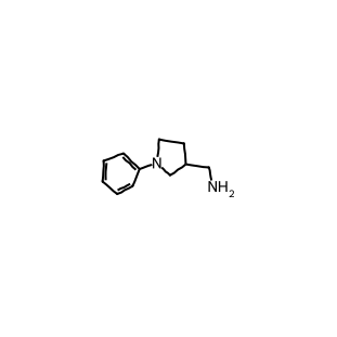 NCC1CCN(c2ccccc2)C1